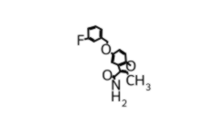 Cc1oc2ccc(OCc3cccc(F)c3)cc2c1C(N)=O